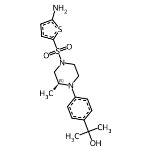 C[C@H]1CN(S(=O)(=O)c2ccc(N)s2)CCN1c1ccc(C(C)(C)O)cc1